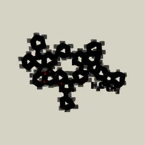 CC1(C)c2ccccc2-c2cc3c4ccccc4n(-c4ccc(-c5nc(-c6ccccc6)nc(-c6ccccc6)n5)cc4-c4nc(-c5ccccc5)cc(-c5cccc(-c6cc7c8c(c6)N(c6ccccc6)c6ccccc6B8c6ccccc6N7c6ccccc6)c5)n4)c3cc21